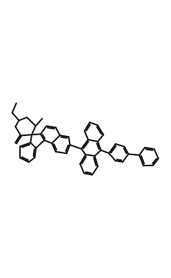 C=C1CC(CC)CC(C)C12c1ccccc1-c1c2ccc2cc(-c3c4ccccc4c(-c4ccc(-c5ccccc5)cc4)c4ccccc34)ccc12